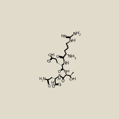 C[C@@H](O)[C@H](NC(=O)[C@H](CCC(=O)O)NC(=O)[C@@H](N)CCCNC(=N)N)C(=O)N[C@@H](CC(N)=O)C(=O)O